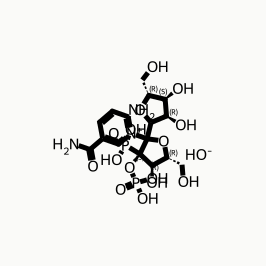 NC(=O)c1ccc(N)[n+](C2(C3O[C@H](CO)[C@@H](O)[C@H]3O)O[C@H](CO)[C@@H](O)[C@]2(OP(=O)(O)O)P(=O)(O)O)c1.[OH-]